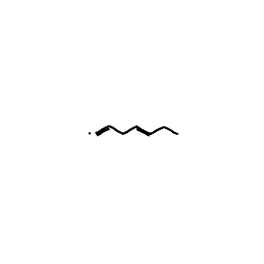 [CH]=CC/C=C/CC